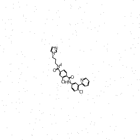 O=C(Nc1ccc(Cl)c(-c2ccccn2)c1)c1ccc(C(=O)N(I)CCCn2ccnc2)cc1Cl